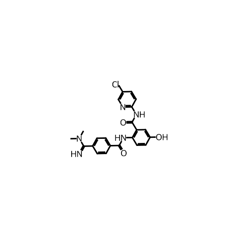 CN(C)C(=N)c1ccc(C(=O)Nc2ccc(O)cc2C(=O)Nc2ccc(Cl)cn2)cc1